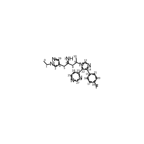 CCn1cc(CC(=N)CC(C)n2cnc(-c3ccc(F)cc3)c2-c2ccncn2)cn1